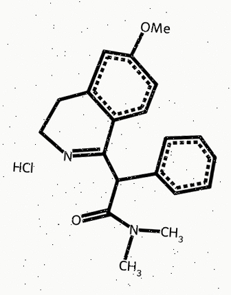 COc1ccc2c(c1)CCN=C2C(C(=O)N(C)C)c1ccccc1.Cl